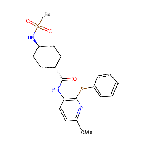 COc1ccc(NC(=O)[C@H]2CC[C@H](NS(=O)(=O)C(C)(C)C)CC2)c(Sc2ccccc2)n1